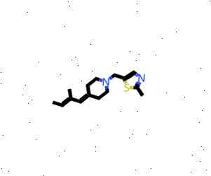 C/C=C(\C)C=C1CCN(Cc2cnc(C)s2)CC1